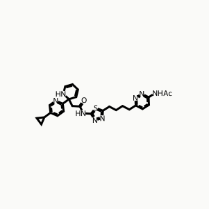 CC(=O)Nc1ccc(CCCCc2nnc(NC(=O)CC3(c4ccc(C5CC5)cn4)C=CC=CN3)s2)nn1